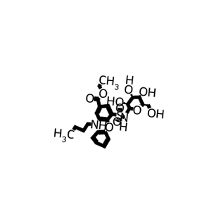 CCCCNc1cc(C(=O)OCC)cc(S(=O)(=O)NC2O[C@H](CO)[C@@H](O)[C@H](O)[C@@H]2O)c1Oc1ccccc1